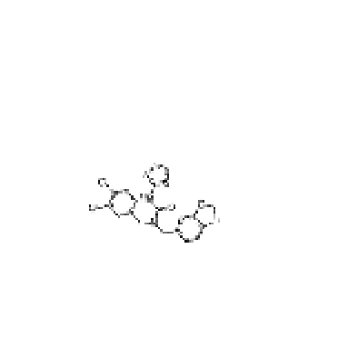 O=C(Nc1nccs1)N(Cc1ccc(Cl)c(Cl)c1)Cc1ccc2c(c1)OCO2